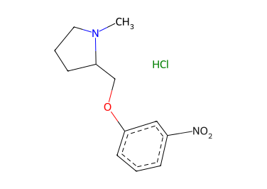 CN1CCCC1COc1cccc([N+](=O)[O-])c1.Cl